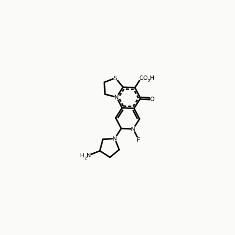 NC1CCN(C2C=c3c(c(=O)c(C(=O)O)c4n3CCS4)=CN2F)C1